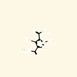 COC(=O)c1nn(C)c(C(N)=O)c1[N+](=O)[O-]